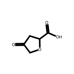 O=C1COC(C(=O)O)C1